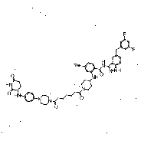 N#Cc1ccc(C(=O)Nc2n[nH]c3ccc(Cc4cc(F)cc(F)c4)cc23)c(NC2CCN(C(=O)CCCCCC(=O)N3CCN(c4ccc(NC5CCC(=O)NC5=O)cc4)CC3)CC2)c1